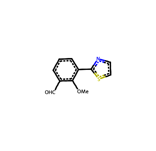 COc1c(C=O)cccc1-c1nccs1